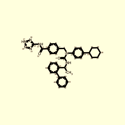 CC(NC(=O)N(Cc1ccc(C(=O)Nc2nn[nH]n2)cc1)c1ccc(C2CCCCC2)cc1)c1ccccc1-c1ccccc1